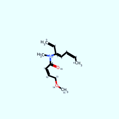 C=C/C(=C\C=C/C)N(C)C(=O)/C=C\COC